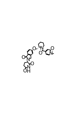 Cn1ccc(C(=O)N2CCCC[C@H]2COc2ccc3c(c2)CN(C2CCC(=O)NC2=O)C3=O)cc1=O